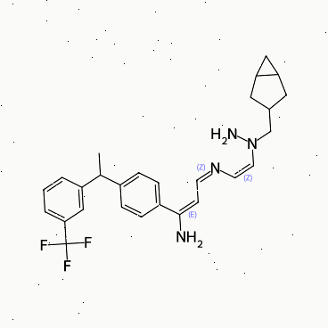 CC(c1ccc(\C(N)=C/C=N\C=C/N(N)CC2CC3CC3C2)cc1)c1cccc(C(F)(F)F)c1